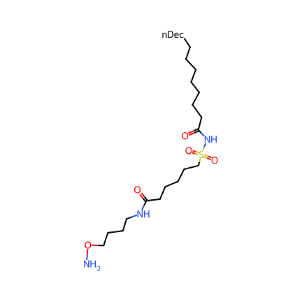 CCCCCCCCCCCCCCCCCC(=O)NS(=O)(=O)CCCCCC(=O)NCCCCON